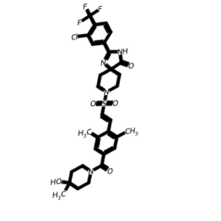 Cc1cc(C(=O)N2CCC(C)(O)CC2)cc(C)c1C=CS(=O)(=O)N1CCC2(CC1)N=C(c1ccc(C(F)(F)F)c(Cl)c1)NC2=O